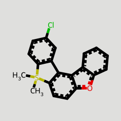 CS1(C)c2ccc(Cl)cc2-c2c1ccc1oc3ccccc3c21